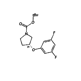 CC(C)(C)OC(=O)N1CC[C@@H](Oc2cc(F)cc(F)c2)C1